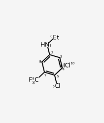 CCNc1ccc(Cl)c(C(F)(F)F)c1.Cl